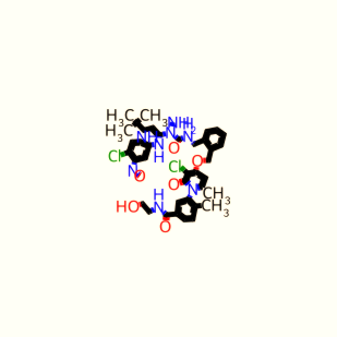 Cc1ccc(C(=O)NCCO)cc1-n1c(C)cc(OCc2ccccc2CNC(=O)N(N)/C(=C/C(=N)C(C)(C)C)Nc2ccc(Cl)c(N=O)c2)c(Cl)c1=O